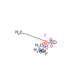 CCCCCCCCCCCCCCCCCCOCC(COC(=O)N(CC[N+](C)(C)C)C(C)=O)N1C(=O)c2ccccc2C1=O.[I-]